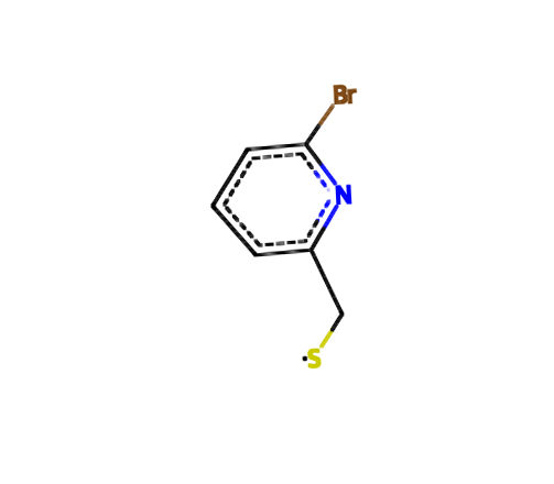 [S]Cc1cccc(Br)n1